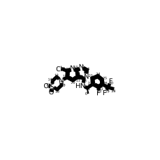 C[C@@H](Nc1ncnc2nc(Cl)c(N3CCS(=O)(=O)CC3)cc12)c1cccc(C(C)(F)F)c1F